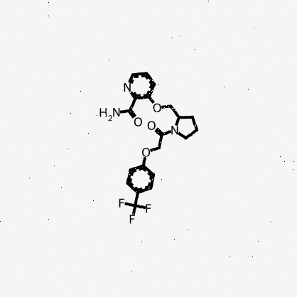 NC(=O)c1ncccc1OCC1CCCN1C(=O)COc1ccc(C(F)(F)F)cc1